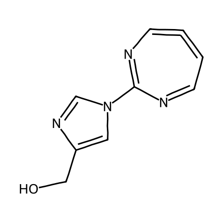 OCc1cn(C2=NC=C=CC=N2)cn1